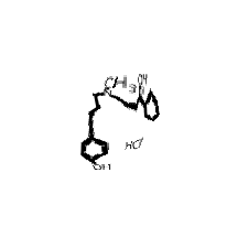 CN(CCCc1ccc(O)cc1)C[C@@H](O)c1ccccc1.Cl